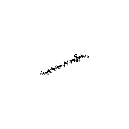 COCC(=O)NCCOCCOCCOCCOCCC(C)=O